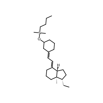 CCCC[Si](C)(C)OC1CCCC(=CC=C2CCC[C@]3(C)[C@@H](CC)CC[C@@H]23)C1